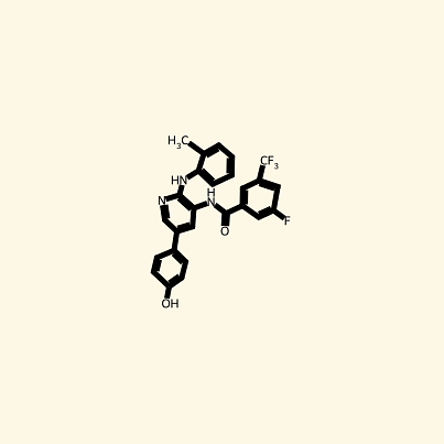 Cc1ccccc1Nc1ncc(-c2ccc(O)cc2)cc1NC(=O)c1cc(F)cc(C(F)(F)F)c1